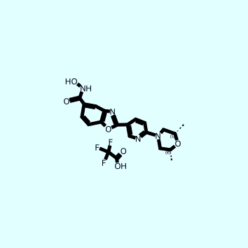 C[C@@H]1CN(c2ccc(-c3nc4cc(C(=O)NO)ccc4o3)cn2)C[C@H](C)O1.O=C(O)C(F)(F)F